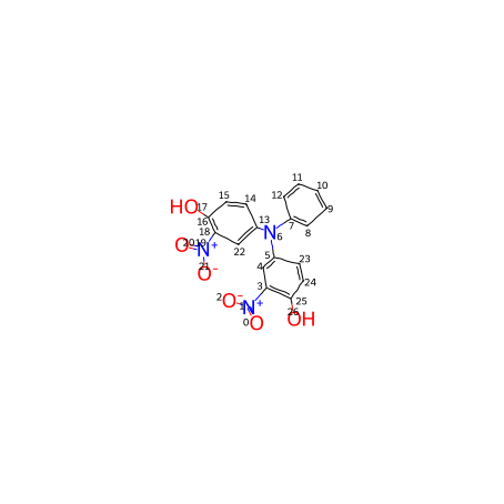 O=[N+]([O-])c1cc(N(c2ccccc2)c2ccc(O)c([N+](=O)[O-])c2)ccc1O